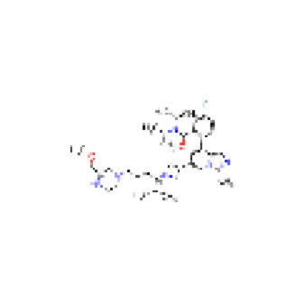 COC[C@H]1CN(CCC[C@H](C(C)C)N2CC(c3cc(-c4ccc(F)cc4C(=O)N(C(C)C)C(C)C)c4cnc(C)n4c3)C2)CCN1